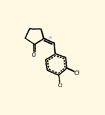 O=C1CCC/C1=C/c1ccc(Cl)c(Cl)c1